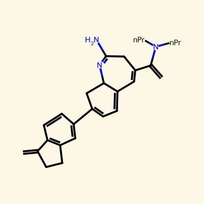 C=C1CCc2cc(C3=CC=C4C=C(C(=C)N(CCC)CCC)CC(N)=NC4C3)ccc21